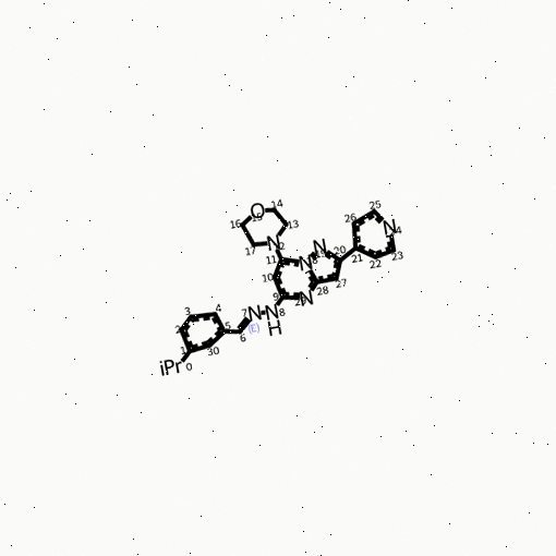 CC(C)c1cccc(/C=N/Nc2cc(N3CCOCC3)n3nc(-c4ccncc4)cc3n2)c1